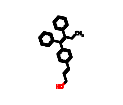 CCC(=C(c1ccccc1)c1ccc(C=CCO)cc1)c1ccccc1